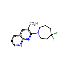 O=C(O)c1cc2cccnc2nc1N1CCCC(F)(F)CC1